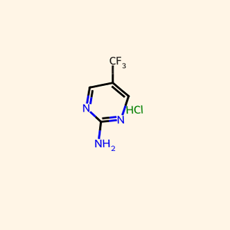 Cl.Nc1ncc(C(F)(F)F)cn1